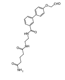 NC(=O)CCCC(=O)NCCNC(=O)c1cccc(-c2ccc(OCC=O)cc2)c1